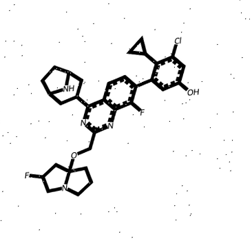 Oc1cc(Cl)c(C2CC2)c(-c2ccc3c(C4CC5CCC(C4)N5)nc(COC45CCCN4CC(F)C5)nc3c2F)c1